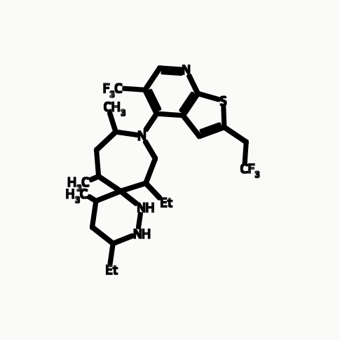 CCC1CC(C)C2(NN1)C(C)CC(C)N(c1c(C(F)(F)F)cnc3sc(CC(F)(F)F)cc13)CC2CC